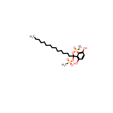 CCCCCCCCCCCCCCC(OS(C)(=O)=O)(OS(C)(=O)=O)c1cc(O)ccc1O